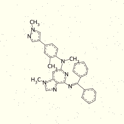 Cc1cc(-c2cnn(C)c2)ccc1N(C)c1cc2c(ncn2C)c(N=C(c2ccccc2)c2ccccc2)n1